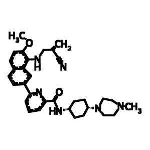 C=C(C#N)CNc1c(OC)ccc2ccc(-c3cccc(C(=O)N[C@H]4CC[C@@H](N5CCN(C)CC5)CC4)n3)cc12